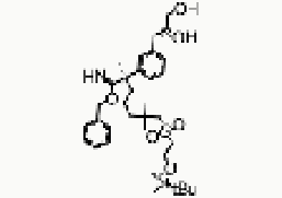 CC(C)(CCC[C@@](C)(C(=N)OCc1ccccc1)c1cccc(C[C@H](O)CO)c1)CS(=O)(=O)CCO[Si](C)(C)C(C)(C)C